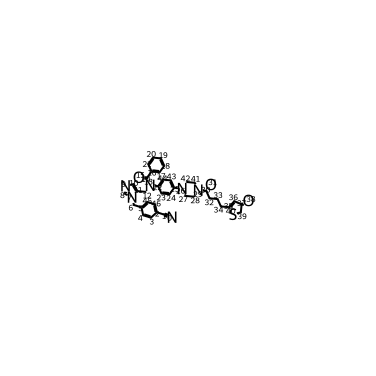 N#Cc1ccc(Cn2cncc2CN(C(=O)c2ccccc2)c2ccc(N3CCN(C(=O)CCCC4=CC(=O)CS4)CC3)cc2)cc1